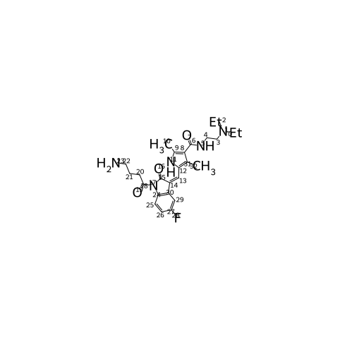 CCN(CC)CCNC(=O)c1c(C)[nH]c(/C=C2\C(=O)N(C(=O)CCCN)c3ccc(F)cc32)c1C